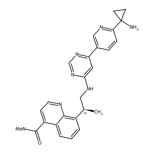 CNC(=O)c1ccnc2c([C@H](C)CNc3cc(-c4ccc(C5(N)CC5)nc4)ncn3)cccc12